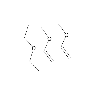 C=COC.C=COC.CCOCC